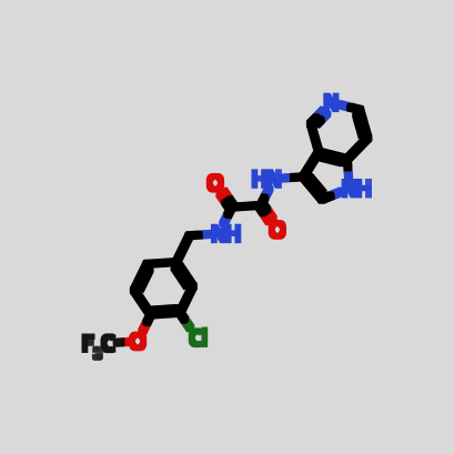 O=C(NCc1ccc(OC(F)(F)F)c(Cl)c1)C(=O)Nc1c[nH]c2ccncc12